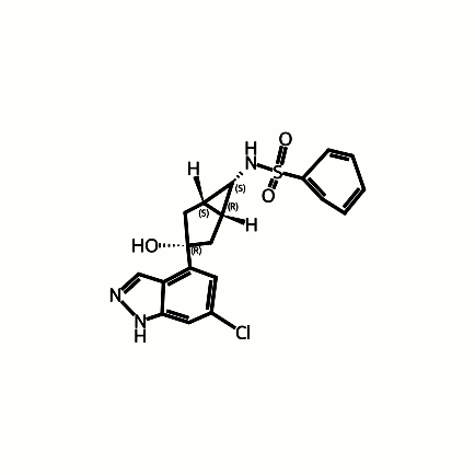 O=S(=O)(N[C@@H]1[C@@H]2C[C@@](O)(c3cc(Cl)cc4[nH]ncc34)C[C@@H]21)c1ccccc1